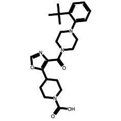 CC(C)(C)c1ccccc1N1CCN(C(=O)c2ncoc2C2CCN(C(=O)O)CC2)CC1